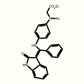 CCOC(=O)CN(C(C)=O)c1ccc(N/C(=C2\C(=O)Nc3ccccc32)c2ccccc2)cc1